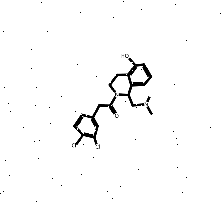 CN(C)CC1c2cccc(O)c2CCN1C(=O)Cc1ccc(Cl)c(Cl)c1